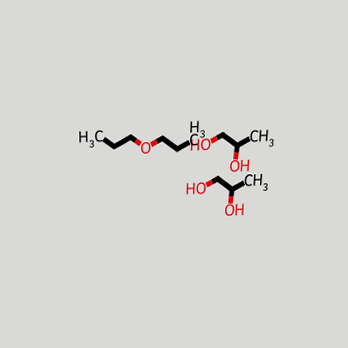 CC(O)CO.CC(O)CO.CCCOCCC